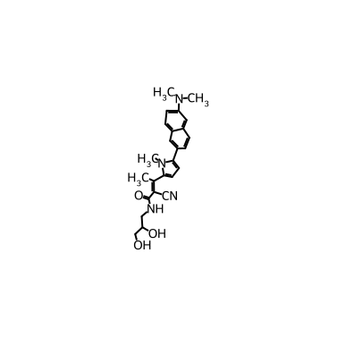 C/C(=C(/C#N)C(=O)NCC(O)CO)c1ccc(-c2ccc3cc(N(C)C)ccc3c2)n1C